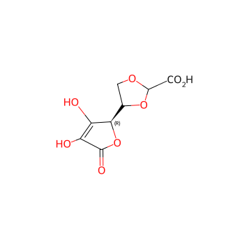 O=C1O[C@H](C2COC(C(=O)O)O2)C(O)=C1O